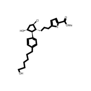 COC(=O)c1ccc(CCC[C@@H]2[C@@H](c3ccc(CCCCCCO)cc3)[C@H](O)C[C@H]2Cl)s1